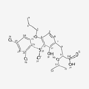 CCCOc1ccc(CC(OC(C)C)C(=O)O)c(O)c1[S+]([O-])c1ccc(Cl)cc1Cl